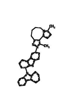 Cc1c2c(nn1-c1ccc3sc4c(-n5c6ccccc6c6ccccc65)cccc4c3c1)CCCCn1c(C)ccc1-2